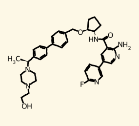 C[C@@H](c1ccc(-c2ccc(CO[C@H]3CCC[C@@H]3NC(=O)c3cc(-c4ccc(F)nc4)cnc3N)cc2)cc1)N1CCN(CCO)CC1